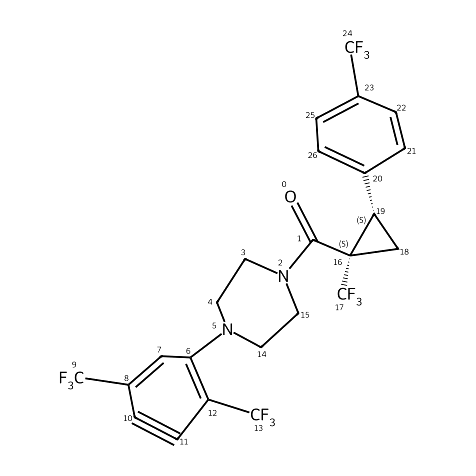 O=C(N1CCN(c2cc(C(F)(F)F)c#cc2C(F)(F)F)CC1)[C@]1(C(F)(F)F)C[C@H]1c1ccc(C(F)(F)F)cc1